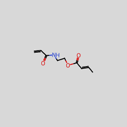 C=CC(=O)NCCOC(=O)C=CC